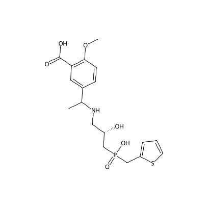 COc1ccc(C(C)NC[C@H](O)CP(=O)(O)Cc2cccs2)cc1C(=O)O